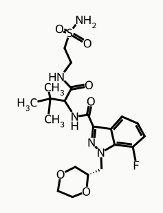 CC(C)(C)C(NC(=O)c1nn(C[C@H]2COCCO2)c2c(F)cccc12)C(=O)NCCS(N)(=O)=O